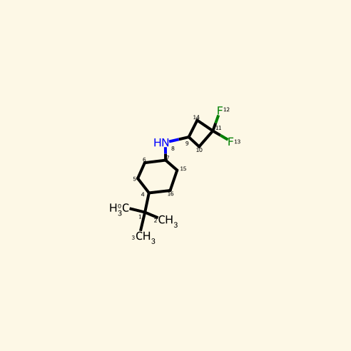 CC(C)(C)C1CCC(NC2CC(F)(F)C2)CC1